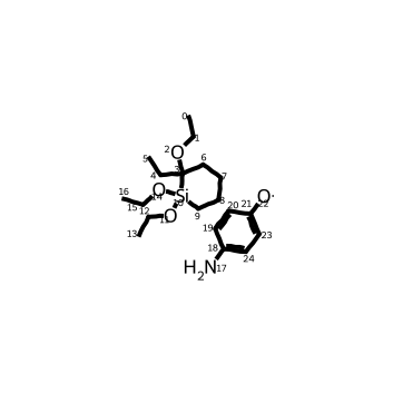 CCOC1(CC)CCCC[Si]1(OCC)OCC.Nc1ccc([O])cc1